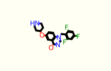 O=c1ncn(Cc2c(F)cc(F)cc2F)c2ccc(OC3CCNCC3)cc12